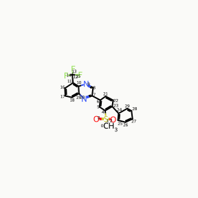 CS(=O)(=O)c1cc(-c2cnc3c(C(F)(F)F)cccc3n2)ccc1-c1ccccc1